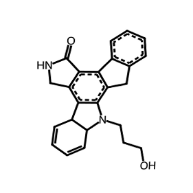 O=C1NCc2c1c1c(c3c2C2C=CC=CC2N3CCCO)Cc2ccccc2-1